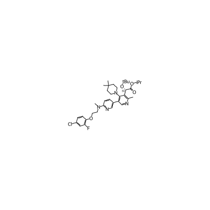 Cc1ncc(-c2ccc(N(C)CCOc3ccc(Cl)cc3F)nc2)c(N2CCC(C)(C)CC2)c1[C@H](OC(C)(C)C)C(=O)OC(C)C